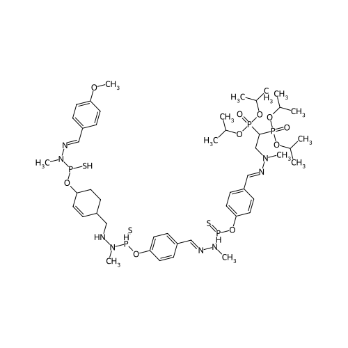 COc1ccc(/C=N/N(C)P(S)OC2C=CC(CNN(C)[PH](=S)Oc3ccc(/C=N/N(C)[PH](=S)Oc4ccc(/C=N/N(C)CC(P(=O)(OC(C)C)OC(C)C)P(=O)(OC(C)C)OC(C)C)cc4)cc3)CC2)cc1